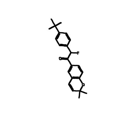 CC1(C)C=Cc2cc(C(=O)C(F)c3ccc(C(C)(C)C)cc3)ccc2O1